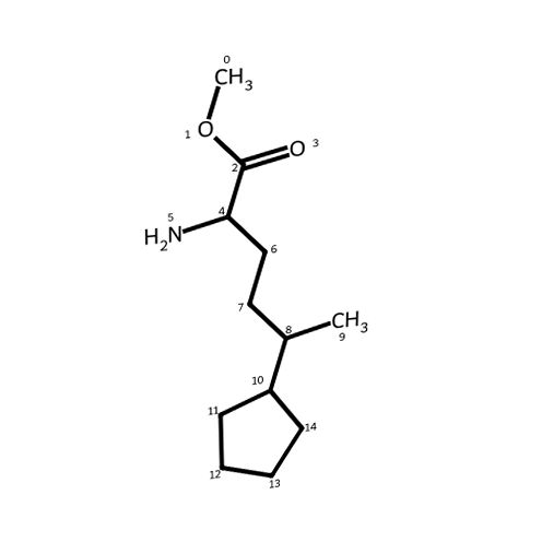 COC(=O)C(N)CCC(C)C1CCCC1